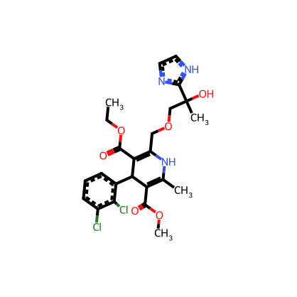 CCOC(=O)C1=C(COCC(C)(O)c2ncc[nH]2)NC(C)=C(C(=O)OC)C1c1cccc(Cl)c1Cl